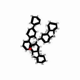 c1ccc(-c2ccc(-c3ccccc3)c(N(c3ccc4sc5ccccc5c4c3)c3ccc4sc5ccccc5c4c3)c2)cc1